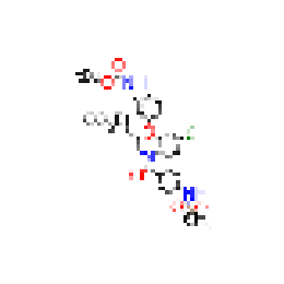 CCOC(=O)CCCN(C(=O)c1ccc(NS(C)(=O)=O)cc1)c1ccc(Cl)cc1Oc1cccc(CNC(=O)OC(C)(C)C)c1